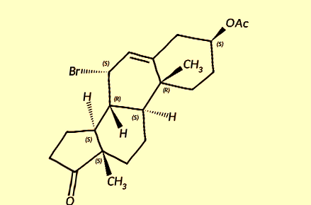 CC(=O)O[C@H]1CC[C@@]2(C)C(=C[C@@H](Br)[C@@H]3[C@@H]2CC[C@]2(C)C(=O)CC[C@@H]32)C1